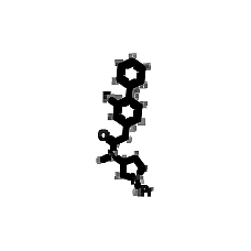 CC(C)N1CCC(N(C)C(=O)Cc2ccc(-c3ccccc3)c(F)c2)C1